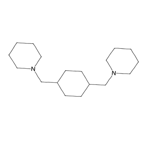 C1CCN(CC2CCC(CN3CCCCC3)CC2)CC1